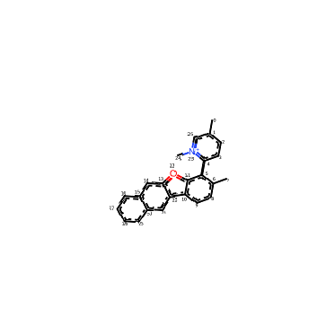 Cc1ccc(-c2c(C)ccc3c2oc2cc4ccccc4cc23)[n+](C)c1